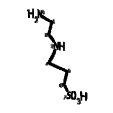 NCCNCCCS(=O)(=O)O